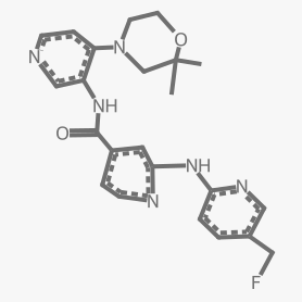 CC1(C)CN(c2ccncc2NC(=O)c2ccnc(Nc3ccc(CF)cn3)c2)CCO1